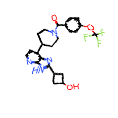 O=C(c1ccc(OC(F)(F)F)cc1)N1CCC(c2ccnc3[nH]c(C4CC(O)C4)nc23)CC1